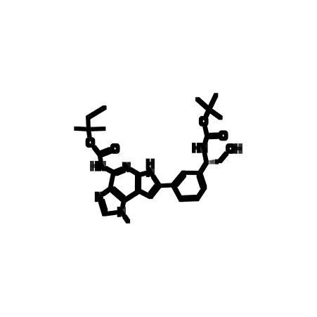 CCC(C)(C)OC(=O)Nc1nc2[nH]c(-c3cccc([C@@H](CO)NC(=O)OC(C)(C)C)c3)cc2c2c1ncn2C